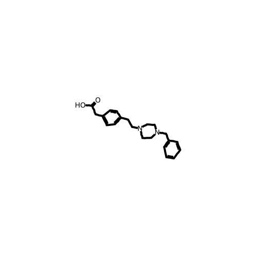 O=C(O)Cc1ccc(CCN2CCN(Cc3ccccc3)CC2)cc1